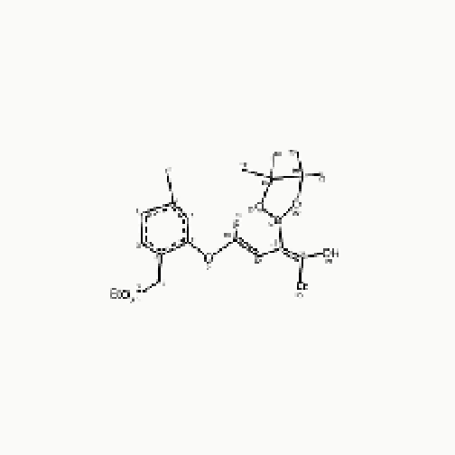 CCOC(=O)Cc1ccc(C)cc1O/C(F)=C/C(B1OC(C)(C)C(C)(C)O1)=C(/O)CC